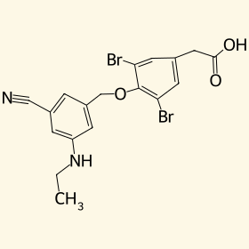 CCNc1cc(C#N)cc(COc2c(Br)cc(CC(=O)O)cc2Br)c1